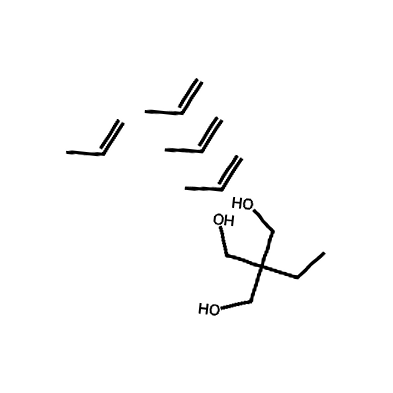 C=CC.C=CC.C=CC.C=CC.CCC(CO)(CO)CO